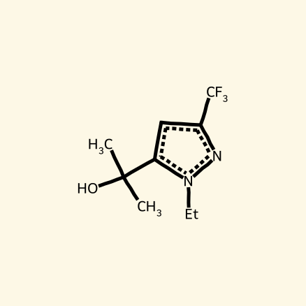 CCn1nc(C(F)(F)F)cc1C(C)(C)O